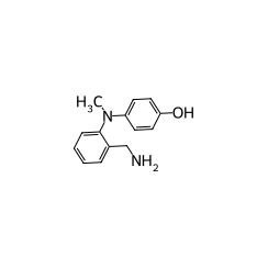 CN(c1ccc(O)cc1)c1ccccc1CN